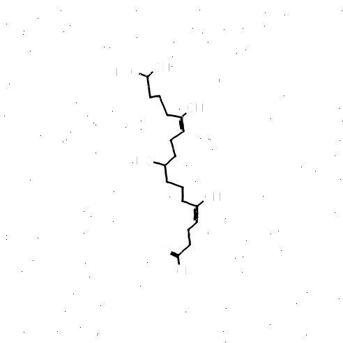 CC(=O)CCC=C(C)CCCC(C)CCC=C(C)CCCC(C)C